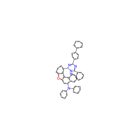 c1ccc(C2=NC(c3ccc(-c4ccccc4)cc3)=NC(c3cccc4oc5cc(N(c6ccccc6)c6ccccc6)c6ccccc6c5c34)N2)cc1